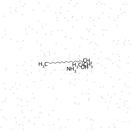 CCCCCCCCCCCCCCCCC(C)C(C)(C)O.N